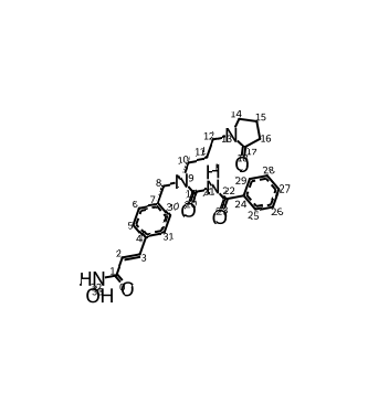 O=C(C=Cc1ccc(CN(CCCN2CCCC2=O)C(=O)NC(=O)c2ccccc2)cc1)NO